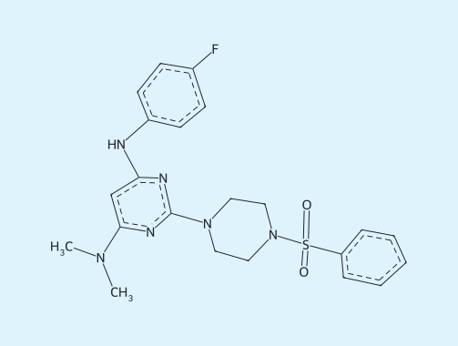 CN(C)c1cc(Nc2ccc(F)cc2)nc(N2CCN(S(=O)(=O)c3ccccc3)CC2)n1